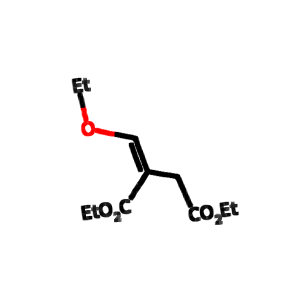 CCO/C=C(/CC(=O)OCC)C(=O)OCC